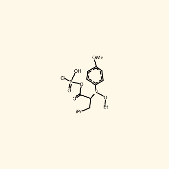 CCON(c1ccc(OC)cc1)C(CC(C)C)C(=O)OP(=O)(O)Cl